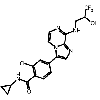 O=C(NC1CC1)c1ccc(-c2cnc3c(NCC(O)C(F)(F)F)nccn23)cc1Cl